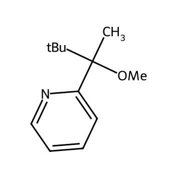 COC(C)(c1ccccn1)C(C)(C)C